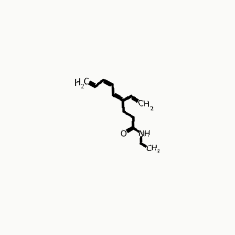 C=C/C=C\C=C(/C=C)CCC(=O)NCC